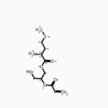 C=CC(=O)OC(CO)COC(=O)[C@@H](N)CCSC